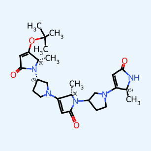 C[C@@H]1NC(=O)C=C1N1CCC(N2C(=O)C=C(N3CC[C@H](N4C(=O)C=C(OC(C)(C)C)[C@@H]4C)C3)[C@@H]2C)C1